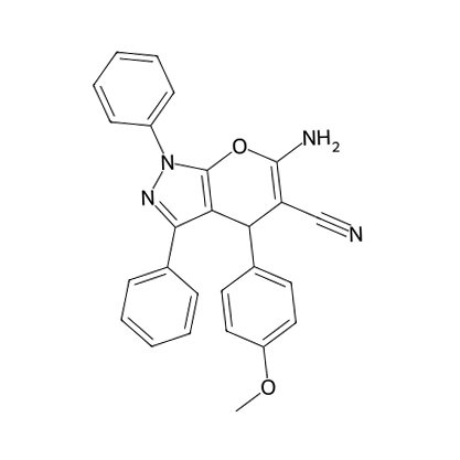 COc1ccc(C2C(C#N)=C(N)Oc3c2c(-c2ccccc2)nn3-c2ccccc2)cc1